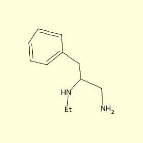 CCNC(CN)Cc1ccccc1